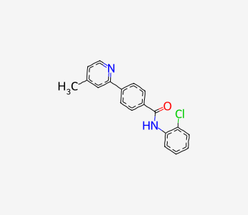 Cc1ccnc(-c2ccc(C(=O)Nc3ccccc3Cl)cc2)c1